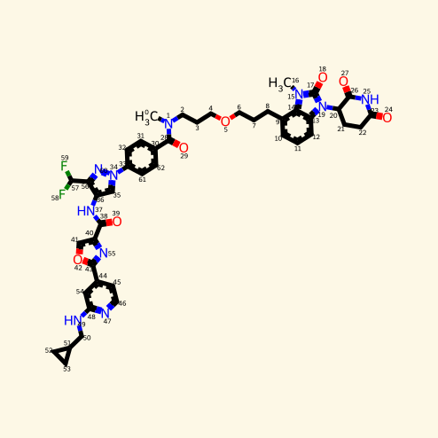 CN(CCCOCCCc1cccc2c1n(C)c(=O)n2C1CCC(=O)NC1=O)C(=O)c1ccc(-n2cc(NC(=O)c3coc(-c4ccnc(NCC5CC5)c4)n3)c(C(F)F)n2)cc1